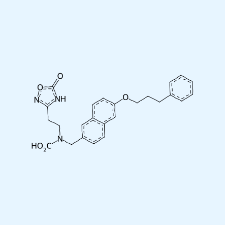 O=C(O)N(CCc1noc(=O)[nH]1)Cc1ccc2cc(OCCCc3ccccc3)ccc2c1